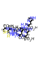 NCC(=O)O.NCC(=O)O.N[C@@H](CS)C(=O)O.N[C@@H](CS)C(=O)O.N[C@@H](Cc1c[nH]cn1)C(=O)O.N[C@@H](Cc1c[nH]cn1)C(=O)O.N[C@@H](Cc1c[nH]cn1)C(=O)O